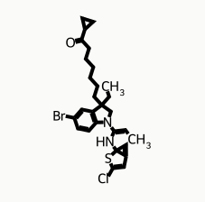 CC=C(NC12C=C1C=C(Cl)S2)N1CC(CC)(CCCCCCC(=O)C2CC2)c2cc(Br)ccc21